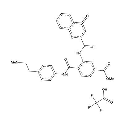 CNCCc1ccc(NC(=O)c2ccc(C(=O)OC)cc2NC(=O)c2cc(=O)c3ccccc3o2)cc1.O=C(O)C(F)(F)F